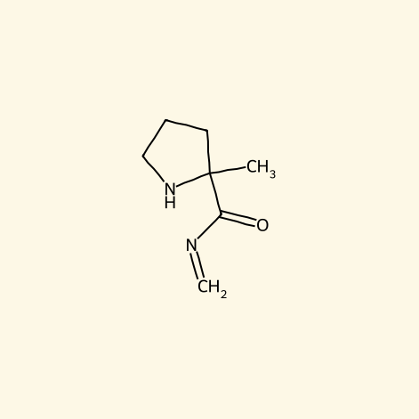 C=NC(=O)C1(C)CCCN1